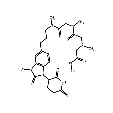 CNC(=O)CN(C)CC(=O)N(C)CC(=O)N(C)CCCc1ccc2c(c1)n(C)c(=O)n2C1CCC(=O)NC1=O